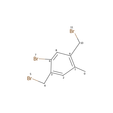 Cc1cc(CBr)c(Br)cc1CBr